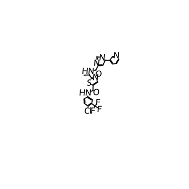 CC(NC(=O)c1cc(-c2cccnc2)ncn1)c1ncc(C(=O)Nc2ccc(Cl)c(C(F)(F)F)c2)s1